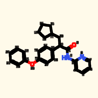 O=C(Nc1ccccn1)C(CC1CCCC1)c1ccc(Oc2ccccc2)cc1